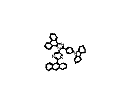 c1ccc2c(-c3ncc(-n4c(-c5ccc(-n6c7ccccc7c7ccccc76)cc5)nc5c6ccccc6c6ccccc6c54)cn3)c3ccccc3cc2c1